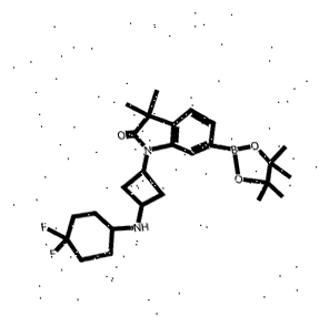 CC1(C)C(=O)N(C2CC(NC3CCC(F)(F)CC3)C2)c2cc(B3OC(C)(C)C(C)(C)O3)ccc21